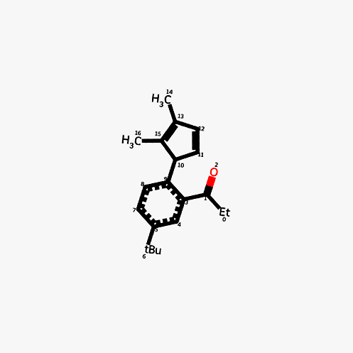 CCC(=O)c1cc(C(C)(C)C)ccc1C1C=CC(C)=C1C